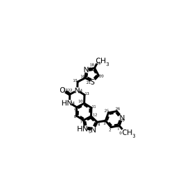 Cc1cc(-c2n[nH]c3cc4c(cc23)CN(Cc2nc(C)cs2)C(=O)N4)ccn1